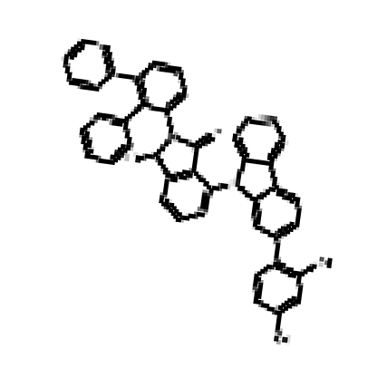 N#Cc1ccc(-c2ccc3c4ccccc4n(-c4cccc5c4C(=O)N(c4cccc(-c6ccccc6)c4-c4ccccc4)C5O)c3c2)c(C#N)c1